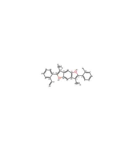 Bc1c(-c2ccccc2C)oc2cc3c(B)c(-c4ccccc4C=C)oc3cc12